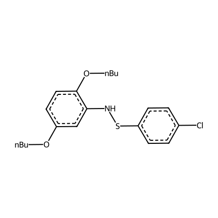 CCCCOc1ccc(OCCCC)c(NSc2ccc(Cl)cc2)c1